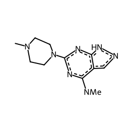 CNc1nc(N2CCN(C)CC2)nc2[nH]ncc12